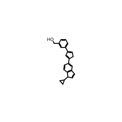 OCc1cccc(C2=CCC(c3ccc4c(c3)C=CC4C3CC3)=C2)c1